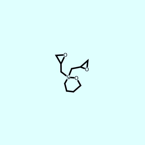 C1CC[Si](CC2CO2)(CC2CO2)OC1